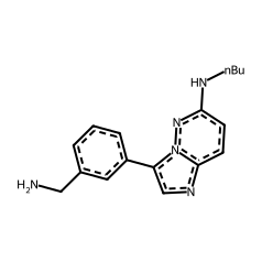 CCCCNc1ccc2ncc(-c3cccc(CN)c3)n2n1